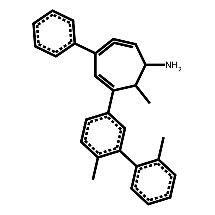 Cc1ccccc1-c1cc(C2=CC(c3ccccc3)=C=CC(N)C2C)ccc1C